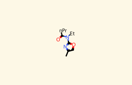 CCCC(=O)N(CC)c1nc(C)co1